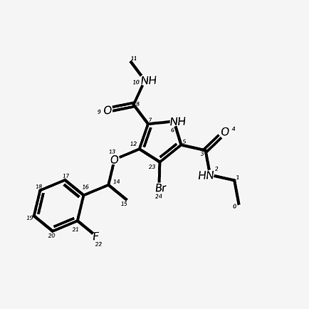 CCNC(=O)c1[nH]c(C(=O)NC)c(OC(C)c2ccccc2F)c1Br